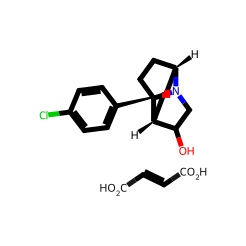 O=C(O)/C=C/C(=O)O.OC1CN2C3CC[C@H]2C[C@H](c2ccc(Cl)cc2)[C@H]13